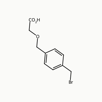 O=C(O)COCc1ccc(CBr)cc1